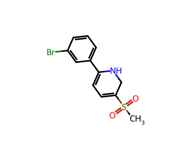 CS(=O)(=O)C1=CC=C(c2cccc(Br)c2)NC1